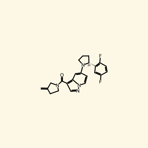 C=C1CCN(C(=O)c2cnn3ccc(N4CCC[C@@H]4c4cc(F)ccc4F)cc23)C1